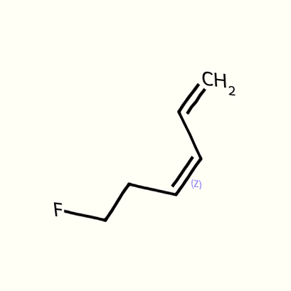 C=C/C=C\CCF